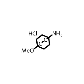 COC12CCC(N)(CC1)CC2.Cl